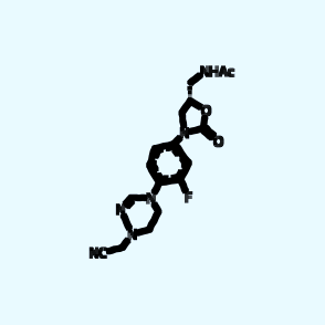 CC(=O)NC[C@H]1CN(c2ccc(N3C=NN(CC#N)CC3)c(F)c2)C(=O)O1